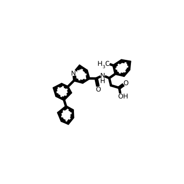 Cc1ccccc1C(CC(=O)O)NC(=O)c1ccnc(-c2cccc(-c3ccccc3)c2)c1